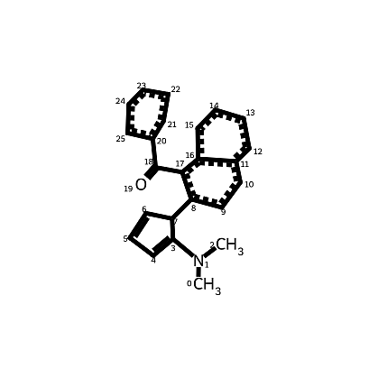 CN(C)C1=CC=CC1c1ccc2ccccc2c1C(=O)c1ccccc1